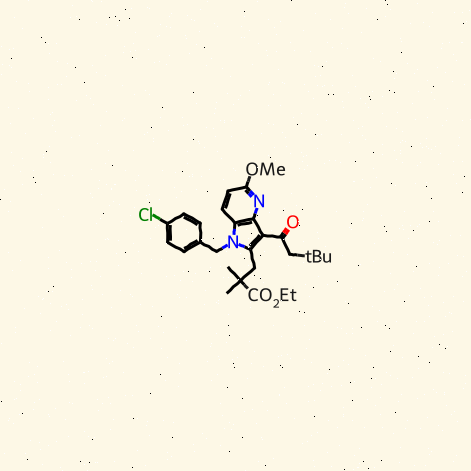 CCOC(=O)C(C)(C)Cc1c(C(=O)CC(C)(C)C)c2nc(OC)ccc2n1Cc1ccc(Cl)cc1